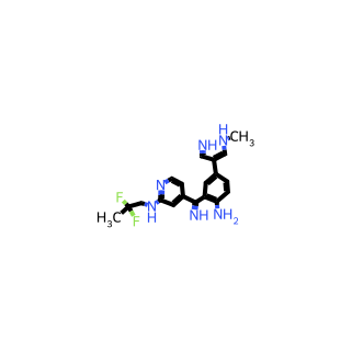 CN/C=C(\C=N)c1ccc(N)c(C(=N)c2ccnc(NCC(C)(F)F)c2)c1